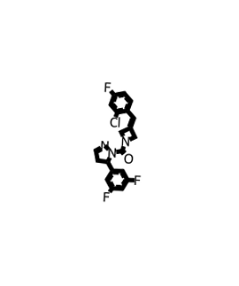 O=C(N1CC(=Cc2ccc(F)cc2Cl)C1)N1N=CCC1c1cc(F)cc(F)c1